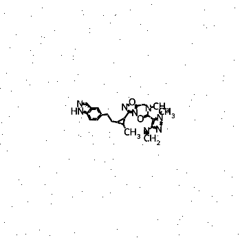 C=Nc1ncn(C)c1C(=O)N(C)Cc1nc(C2C(C)C2CCc2ccc3[nH]ncc3c2)no1